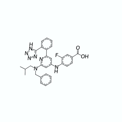 CC(C)CN(Cc1ccccc1)c1cc(Nc2ccc(C(=O)O)cc2F)cc(-c2ccccc2-c2nnn[nH]2)n1